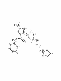 Cc1cc(C(=O)Nc2ccccc2)n(-c2ccc(OCCCN3CCCC3)cc2)n1